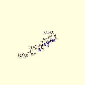 COc1ccnc(Nc2cccc(-c3cnc([C@H]4CC[C@H](C(=O)O)CC4)s3)n2)c1